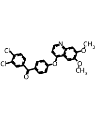 COc1cc2nccc(Oc3ccc(C(=O)c4ccc(Cl)c(Cl)c4)cc3)c2cc1OC